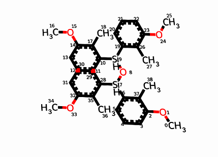 COc1cccc([SiH](O[SiH](c2cccc(OC)c2C)c2cccc(OC)c2C)c2cccc(OC)c2C)c1C